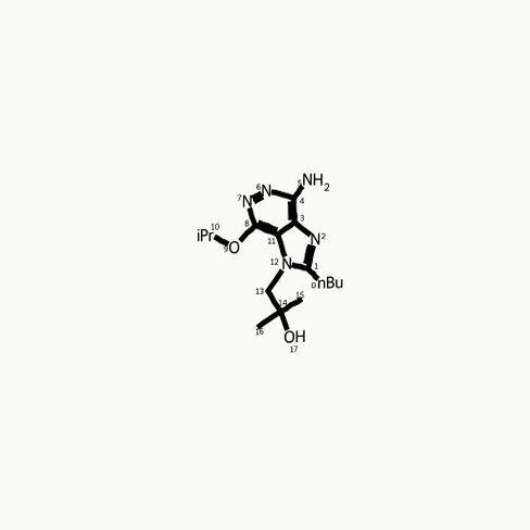 CCCCc1nc2c(N)nnc(OC(C)C)c2n1CC(C)(C)O